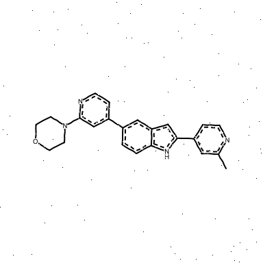 Cc1cc(-c2cc3cc(-c4ccnc(N5CCOCC5)c4)ccc3[nH]2)ccn1